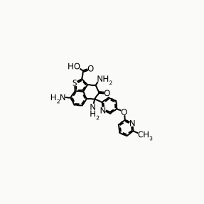 Cc1cccc(Oc2ccc(C3(N)C(=O)C(N)c4c(C(=O)O)sc5c(N)ccc3c45)nc2)n1